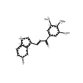 COc1cc(C(=O)C=Cc2c[nH]c3ccc(Br)cc23)cc(OC)c1OC